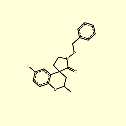 CC1CC2(CCN(OCc3ccccc3)C2=O)c2cc(F)ccc2O1